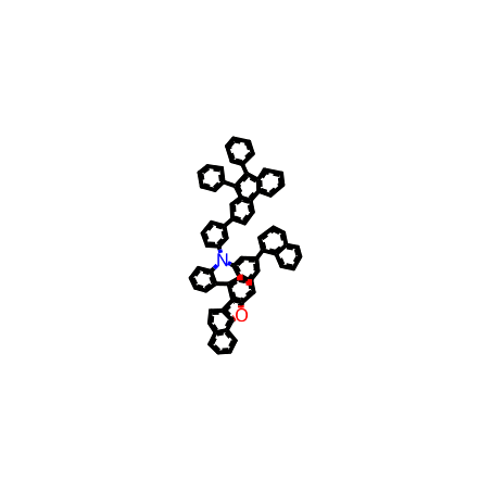 c1ccc(-c2c(-c3ccccc3)c3cc(-c4cccc(N(c5cccc(-c6cccc7ccccc67)c5)c5ccccc5-c5cccc6oc7c8ccccc8ccc7c56)c4)ccc3c3ccccc23)cc1